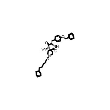 CCCN1C(=O)[C@@H](Cc2ccc(OCc3ccccc3)cc2)NC(=O)C12CCN(CCCCCCc1ccccc1)CC2